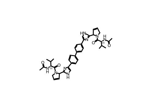 CC(=O)N[C@H](C(=O)N1CC=CC1c1nc(-c2ccc(-c3ccc(-c4c[nH]c(C5C=CCN5C(=O)[C@@H](NC(C)=O)C(C)C)n4)cc3)cc2)c[nH]1)C(C)C